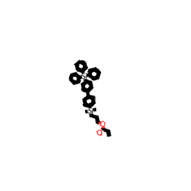 C=CC(=O)OCCC[Si](C)(C)c1ccc(-c2ccc([Si](c3ccccc3)(c3ccccc3)c3ccccc3)cc2)cc1